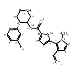 C=Cc1cnn(C)c1-c1ccc(C(=O)NC2CNCC[C@H]2c2cccc(F)c2)s1